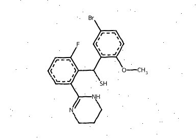 COc1ccc(Br)cc1C(S)c1c(F)cccc1C1=NCCCN1